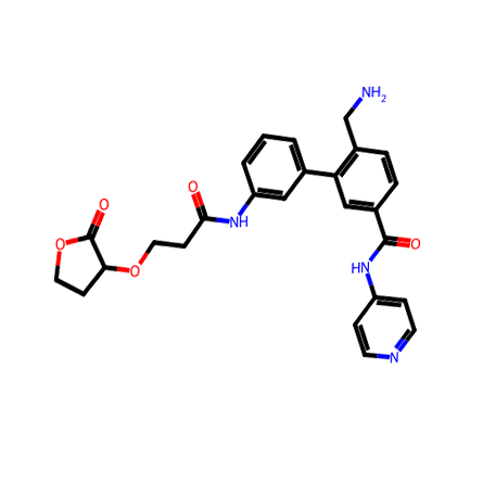 NCc1ccc(C(=O)Nc2ccncc2)cc1-c1cccc(NC(=O)CCOC2CCOC2=O)c1